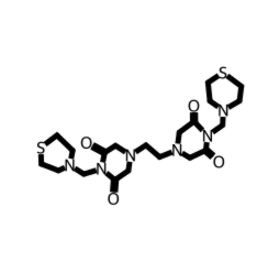 O=C1CN(CCN2CC(=O)N(CN3CCSCC3)C(=O)C2)CC(=O)N1CN1CCSCC1